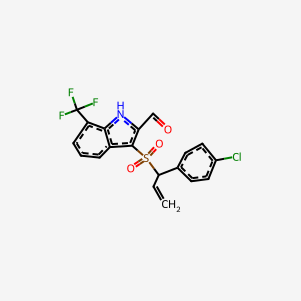 C=CC(c1ccc(Cl)cc1)S(=O)(=O)c1c(C=O)[nH]c2c(C(F)(F)F)cccc12